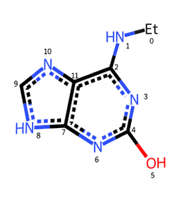 CCNc1nc(O)nc2[nH]cnc12